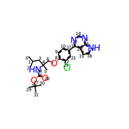 CC(C)CC(C)(COc1ccc(-c2ncnc3[nH]ccc23)cc1Cl)NC(=O)OC(C)(C)C